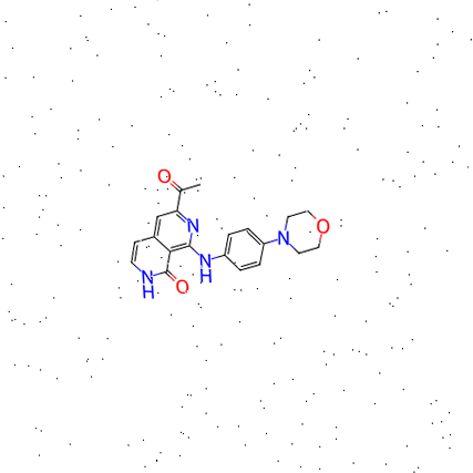 CC(=O)c1cc2cc[nH]c(=O)c2c(Nc2ccc(N3CCOCC3)cc2)n1